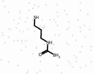 BC(=O)NCCCS